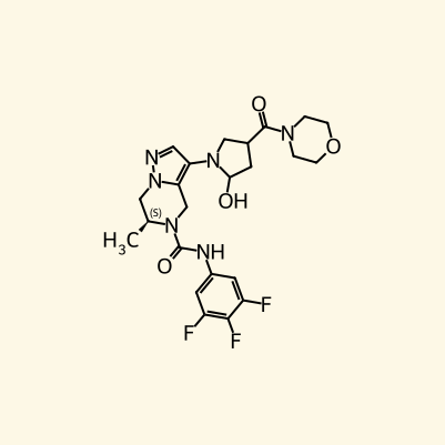 C[C@H]1Cn2ncc(N3CC(C(=O)N4CCOCC4)CC3O)c2CN1C(=O)Nc1cc(F)c(F)c(F)c1